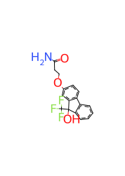 NC(=O)CCOc1ccc2c(c1)C(O)(C(F)(F)F)c1ccccc1-2